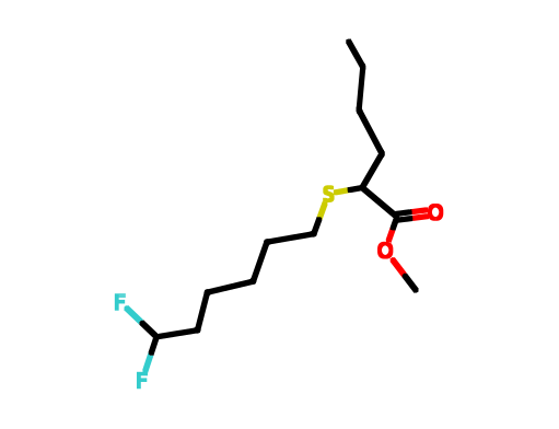 CCCCC(SCCCCCC(F)F)C(=O)OC